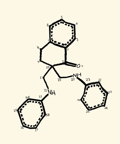 O=C1c2ccccc2CCC1(CNc1ccccc1)CNc1ccccc1